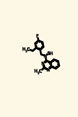 CCc1cc(F)ccc1CN(S)c1nc(C)nc2ccccc12